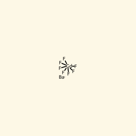 [Ba].[F][Gd]([F])([F])([F])([F])([F])[F]